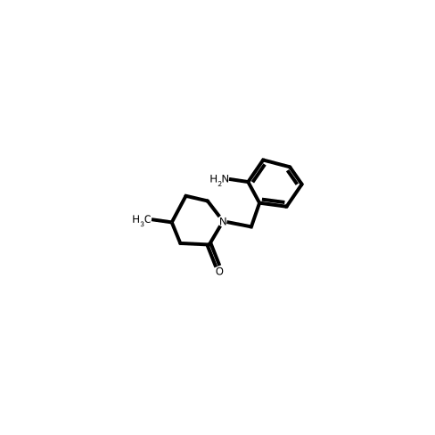 CC1CCN(Cc2ccccc2N)C(=O)C1